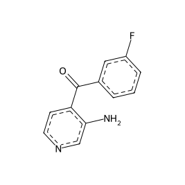 Nc1cnccc1C(=O)c1cccc(F)c1